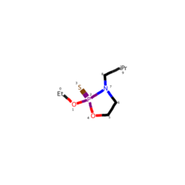 CCOP1(=S)OCCN1CC(C)C